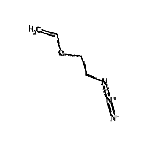 C=COCCN=[N+]=[N-]